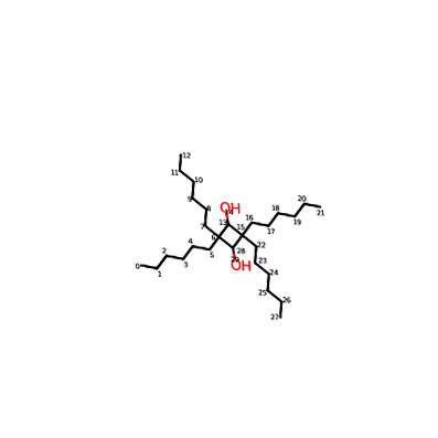 CCCCCCC1(CCCCCC)C(O)C(CCCCCC)(CCCCCC)C1O